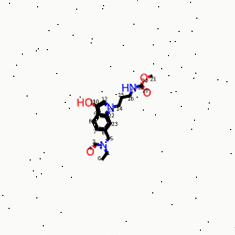 CCN(C=O)Cc1ccc2c(O)cn(CCCNC(=O)OC)c2c1